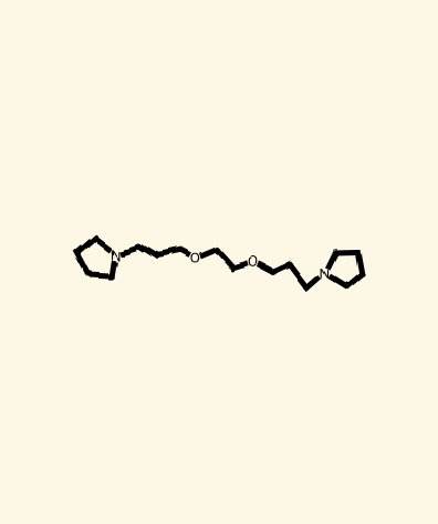 C1CCN(CCCOCCOCCCN2CCCC2)C1